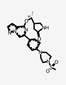 C[C@@H](Oc1nc(-c2ccc(N3CCN(S(C)(=O)=O)CC3)cc2)cn2nccc12)C1CNC(=O)C1